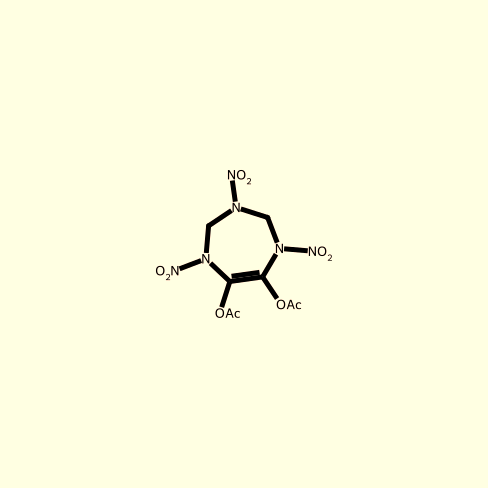 CC(=O)OC1=C(OC(C)=O)N([N+](=O)[O-])CN([N+](=O)[O-])CN1[N+](=O)[O-]